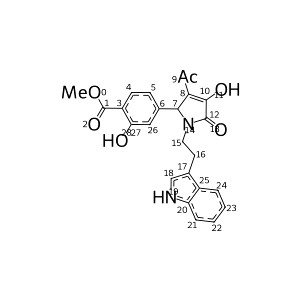 COC(=O)c1ccc(C2C(C(C)=O)=C(O)C(=O)N2CCc2c[nH]c3ccccc23)cc1O